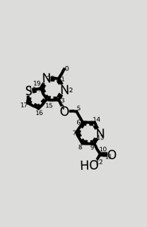 Cc1nc(OCc2ccc(C(=O)O)nc2)c2ccsc2n1